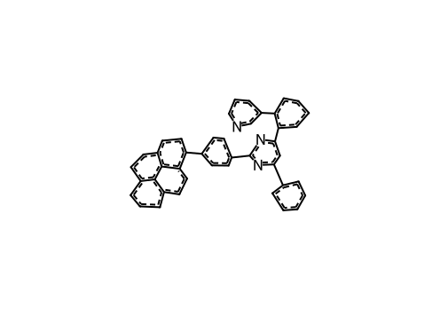 c1ccc(-c2cc(-c3ccccc3-c3cccnc3)nc(-c3ccc(-c4ccc5ccc6cccc7ccc4c5c67)cc3)n2)cc1